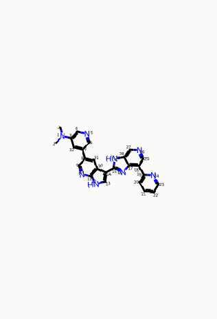 CN(C)c1cncc(-c2cnc3[nH]cc(-c4nc5c(-c6ccccn6)cncc5[nH]4)c3c2)c1